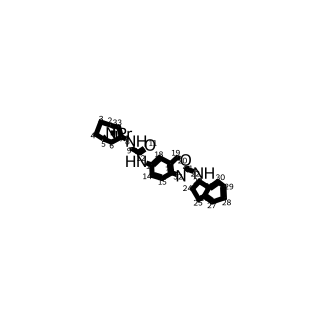 CC(C)N1C2CCC1CC(NCC(=O)Nc1ccc3c(c1)COC(N[C@@H]1CCc4ccccc41)=N3)C2